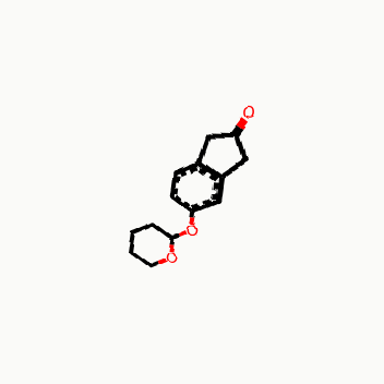 O=C1Cc2ccc(OC3CCCCO3)cc2C1